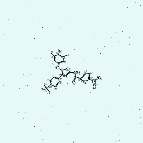 Cc1cc(Oc2sc(NC(=O)c3ccc([N+](=O)[O-])s3)nc2-c2ccc(C(C)(C)C)cc2)cc(C)c1Br